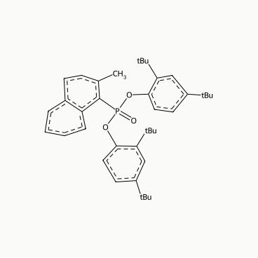 Cc1ccc2ccccc2c1P(=O)(Oc1ccc(C(C)(C)C)cc1C(C)(C)C)Oc1ccc(C(C)(C)C)cc1C(C)(C)C